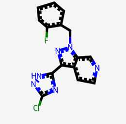 Fc1ccccc1Cn1nc(-c2nc(Cl)n[nH]2)c2ccncc21